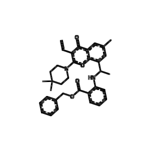 C=Cc1c(N2CCC(C)(C)CC2)oc2c(C(C)Nc3ccccc3C(=O)OCc3ccccc3)cc(C)cc2c1=O